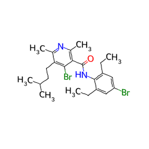 CCc1cc(Br)cc(CC)c1NC(=O)c1c(C)nc(C)c(CCC(C)C)c1Br